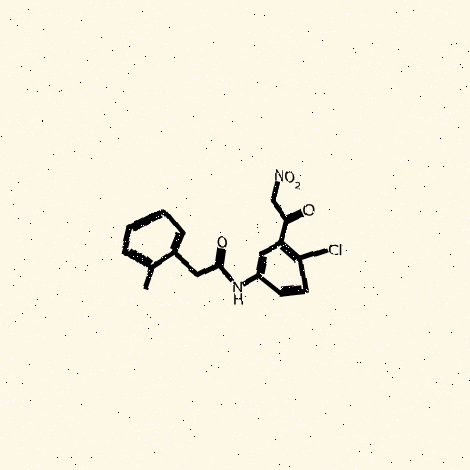 Cc1ccccc1CC(=O)Nc1ccc(Cl)c(C(=O)C[N+](=O)[O-])c1